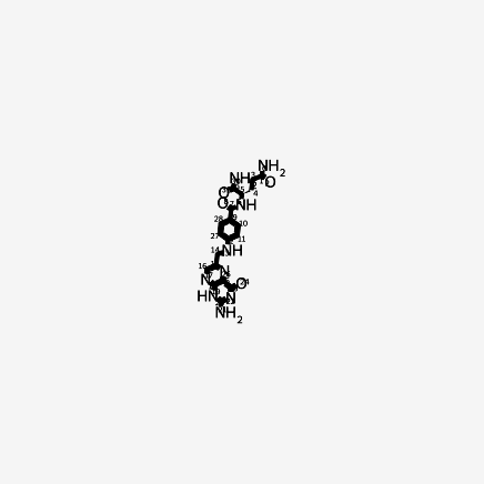 NC(=O)CC[C@H](NC(=O)c1ccc(NCc2cnc3[nH]c(N)nc(=O)c3n2)cc1)C(N)=O